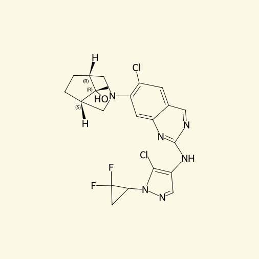 C[C@]1(O)[C@@H]2CC[C@H]1CN(c1cc3nc(Nc4cnn(C5CC5(F)F)c4Cl)ncc3cc1Cl)C2